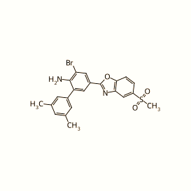 Cc1cc(C)cc(-c2cc(-c3nc4cc(S(C)(=O)=O)ccc4o3)cc(Br)c2N)c1